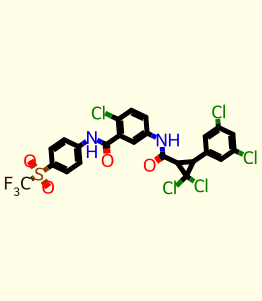 O=C(Nc1ccc(S(=O)(=O)C(F)(F)F)cc1)c1cc(NC(=O)C2C(c3cc(Cl)cc(Cl)c3)C2(Cl)Cl)ccc1Cl